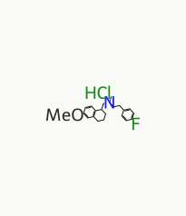 COc1ccc2c(c1)CCCC2CN(C)CCc1ccc(F)cc1.Cl